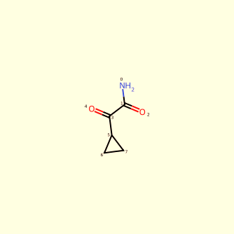 NC(=O)C(=O)C1CC1